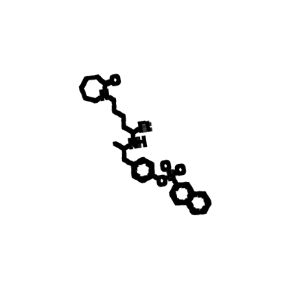 CCC(CCCCN1CCCCCC1=O)NC(C)Cc1ccc(OS(=O)(=O)c2ccc3ccccc3c2)cc1